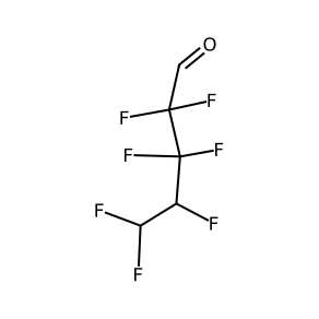 O=CC(F)(F)C(F)(F)C(F)C(F)F